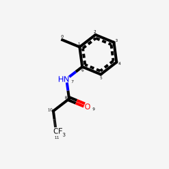 Cc1ccccc1NC(=O)CC(F)(F)F